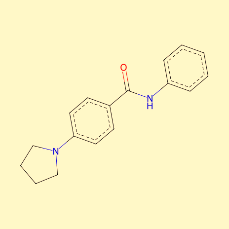 O=C(Nc1ccccc1)c1ccc(N2CCCC2)cc1